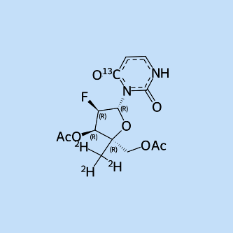 [2H]C([2H])([2H])[C@]1(COC(C)=O)O[C@@H](n2c(=O)[nH]cc[13c]2=O)[C@H](F)[C@@H]1OC(C)=O